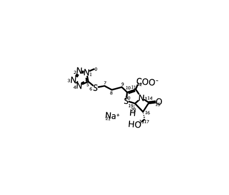 Cn1nnnc1SCCCC1=C(C(=O)[O-])N2C(=O)[C@H](CO)[C@H]2S1.[Na+]